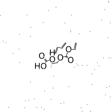 C=CC=C.C=COC(=O)OCC.O=C(O)O